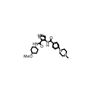 CO[C@H]1CC[C@H](NC(=O)c2n[nH]cc2NC(=O)c2ccc(N3CCN(C)CC3)cc2)CC1